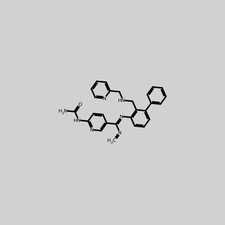 C=N/C(=N\c1cccc(-c2ccccc2)c1CNCc1ccccn1)c1ccc(NC(N)=O)nc1